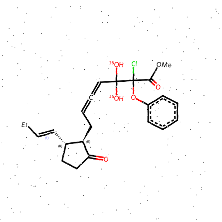 CC/C=C/[C@H]1CCC(=O)[C@@H]1CC=C=CC([16OH])([16OH])C(Cl)(Oc1ccccc1)C(=O)OC